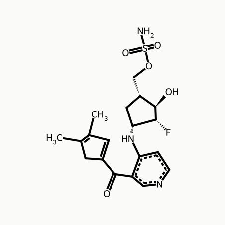 CC1=C(C)CC(C(=O)c2cnccc2N[C@@H]2C[C@H](COS(N)(=O)=O)[C@@H](O)[C@@H]2F)=C1